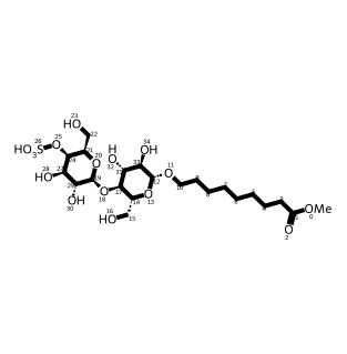 COC(=O)CCCCCCCCO[C@@H]1O[C@H](CO)[C@@H](O[C@@H]2O[C@H](CO)[C@H](OS(=O)(=O)O)[C@H](O)[C@H]2O)[C@H](O)[C@H]1O